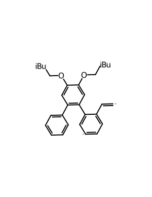 [CH]=Cc1cc[c]cc1-c1cc(OCC(C)CC)c(OCC(C)CC)cc1-c1ccccc1